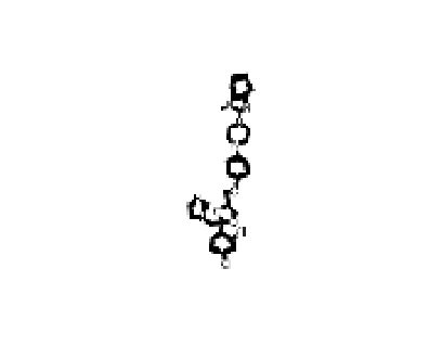 Cn1c(N2CCN(c3ccc(OCC4COC(Cn5ccnc5)(c5ccc(Cl)cc5Cl)O4)cc3)CC2)nc2ccccc21